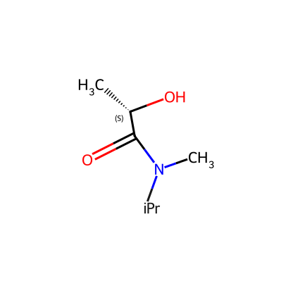 CC(C)N(C)C(=O)[C@H](C)O